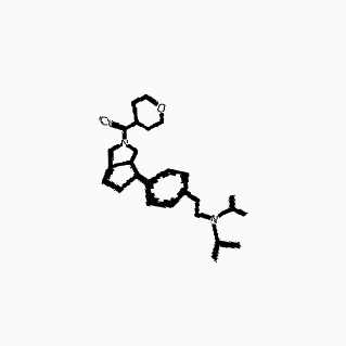 CC(C)N(CCc1ccc(C2CC=C3CN(C(=O)C4CCOCC4)CC32)cc1)C(C)C